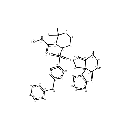 CC1(C)SCCN(S(=O)(=O)c2ccc(Oc3ccncc3)cc2)[C@H]1C(=O)NO.CCC1(c2ccccc2)C(=O)NCNC1=O